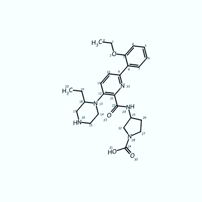 CCOc1ccccc1-c1ccc(N2CCNCC2CC)c(C(=O)NC2CCN(C(=O)O)C2)n1